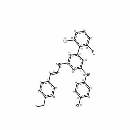 CCc1ccc(/C=N/Nc2nc(Nc3ccc(Cl)cc3)nc(-c3c(F)cccc3Cl)n2)cc1